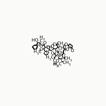 CC[C@H](C)[C@@H]([C@@H](CC(=O)N1CCC[C@H]1[C@H](OC)[C@@H](C)C(=O)N[C@H](C)[C@@H](O)c1ccccc1)OC)N(C)C(=O)[C@@H](NC(=O)[C@H](C(C)C)N(C)CCCC(=O)ON1C(=O)CCC1=O)C(C)C